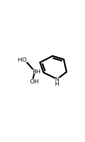 C1=CCNC=C1.OBO